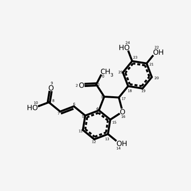 CC(=O)C1c2c(/C=C/C(=O)O)ccc(O)c2OC1c1ccc(O)c(O)c1